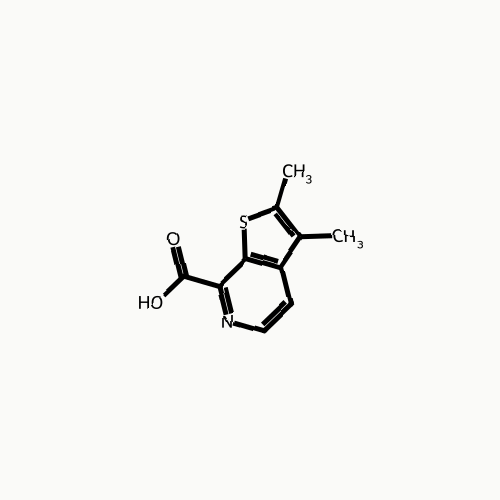 Cc1sc2c(C(=O)O)nccc2c1C